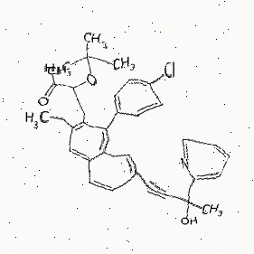 CC(=O)C(OC(C)(C)C)c1c(C)cc2ccc(C#CC(C)(O)c3ccccn3)cc2c1-c1ccc(Cl)cc1